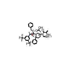 C=C(P)C(=O)N(C=N)[C@@]1(CC(=O)O)CC[C@@](CO[C@H](C)c2cc(C(F)(F)F)cc(C(F)(F)F)c2)(c2ccccc2)N(C(=O)OCc2ccccc2)C1